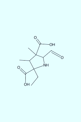 CCC1(C(=O)O)NC(C=O)C(C)(C(=O)O)C1C